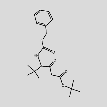 CC(C)(C)OC(=O)CC(=O)C(NC(=O)OCc1ccccc1)C(C)(C)C